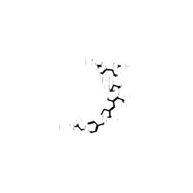 NC(=O)C[n+]1ccc(CN2CC/C(=C\C3=C(C(=O)[O-])N4C(=O)[C@@H](NC(=O)/C(=N\O)c5csc(N)n5)[C@H]4SC3)C2=O)cc1